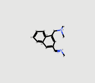 C/N=C/c1cc(CN(C)C)c2ccccc2c1